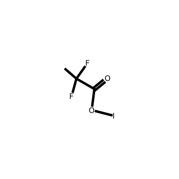 CC(F)(F)C(=O)OI